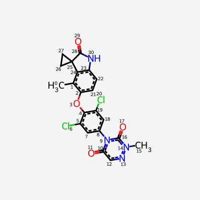 Cc1c(Oc2c(Cl)cc(-n3c(=O)cnn(C)c3=O)cc2Cl)ccc2c1C1(CC1)C(=O)N2